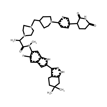 CC(C(=O)N(C)c1cc2[nH]c(-c3n[nH]c4c3CCC(C)(C)C4)cc2cc1F)N1CCN(CC2CCN(c3ccc(C4CCC(=O)NC4=O)cn3)CC2)CC1